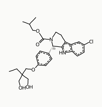 CCC(CO)(CO)COc1ccc([C@H]2c3[nH]c4ccc(Cl)cc4c3CCN2C(=O)OCC(C)C)cc1